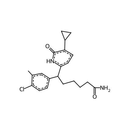 Cc1cc(C(CCCCC(N)=O)c2ccc(C3CC3)c(=O)[nH]2)ccc1Cl